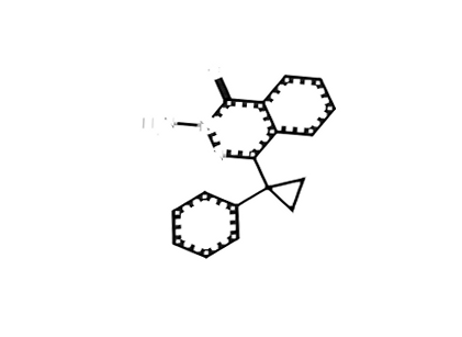 Nn1nc(C2(c3ccccc3)CC2)c2ccccc2c1=O